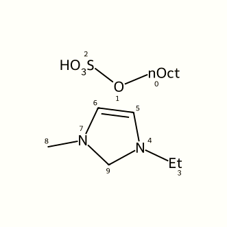 CCCCCCCCOS(=O)(=O)O.CCN1C=CN(C)C1